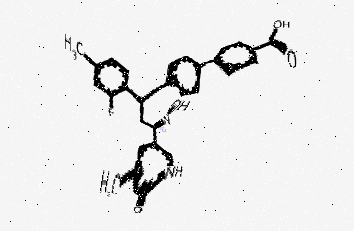 Cc1ccc(C(C/C(=N\O)c2c[nH]c(=O)c(C)c2)c2ccc(-c3ccc(C(=O)O)cc3)cc2)c(F)c1